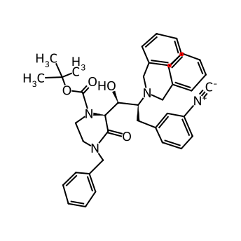 [C-]#[N+]c1cccc(C[C@@H]([C@H](O)[C@H]2C(=O)N(Cc3ccccc3)CCN2C(=O)OC(C)(C)C)N(Cc2ccccc2)Cc2ccccc2)c1